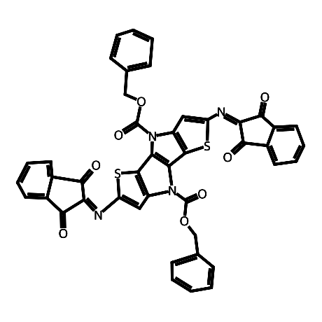 O=C(OCc1ccccc1)n1c2cc(N=c3c(=O)c4ccccc4c3=O)sc2c2c1c1sc(N=c3c(=O)c4ccccc4c3=O)cc1n2C(=O)OCc1ccccc1